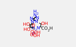 CC(O)C(N)C(=O)O.Nc1ncnc2c1ncn2[C@@H]1O[C@H](COP(=O)(O)O)[C@@H](O)[C@H]1O